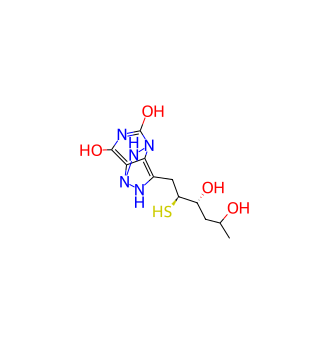 CC(O)C[C@@H](O)[C@@H](S)CC1=C2C3=C(O)N=C(O)N2NN3N1